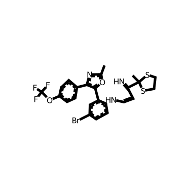 Cc1nc(-c2ccc(OC(F)(F)F)cc2)c(-c2cc(Br)ccc2N/C=C\C(=N)C2(C)SCCS2)o1